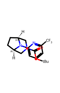 CC(C)(C)OC(=O)N1C[C@H]2CC[C@@H](C1)N2c1cccc(C(F)(F)F)n1